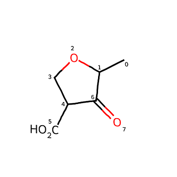 CC1OCC(C(=O)O)C1=O